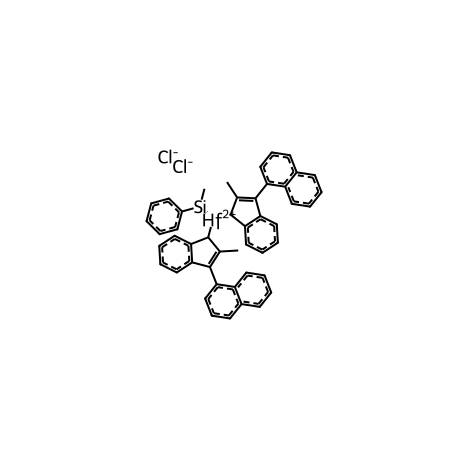 CC1=C(c2cccc3ccccc23)c2ccccc2[CH]1[Hf+2]([CH]1C(C)=C(c2cccc3ccccc23)c2ccccc21)=[Si](C)c1ccccc1.[Cl-].[Cl-]